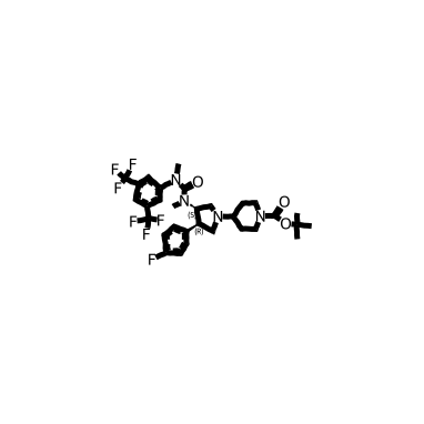 CN(C(=O)N(C)[C@@H]1CN(C2CCN(C(=O)OC(C)(C)C)CC2)C[C@H]1c1ccc(F)cc1)c1cc(C(F)(F)F)cc(C(F)(F)F)c1